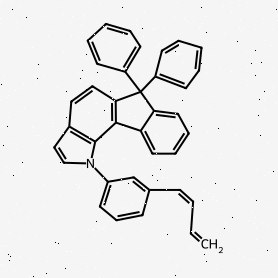 C=C/C=C\c1cccc(-n2ccc3ccc4c(c32)-c2ccccc2C4(c2ccccc2)c2ccccc2)c1